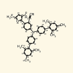 C#Cc1cc(N(c2ccc(-c3c(C)cc(C)cc3C)cc2)c2ccc(-c3c(C)cc(C)cc3C)cc2)ccc1-c1oc(C)cc1C